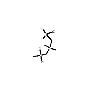 CS(Cl)(Cl)CS(C)(C)CS(Cl)(Cl)Cl